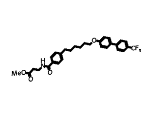 COC(=O)CCNC(=O)c1ccc(CCCCCCOc2ccc(-c3ccc(C(F)(F)F)cc3)cc2)cc1